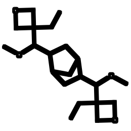 CCC1(C(OC)C2CC3CC2CC3C(OC)C2(CC)COC2)COC1